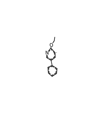 CCOc1[c]cc(-c2ccccc2)cn1